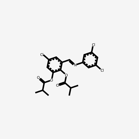 CC(C)C(=O)Oc1cc(Cl)cc(C=Nc2cc(Cl)cc(Cl)c2)c1OC(=O)C(C)C